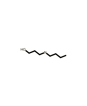 CCCC[N]CCCO